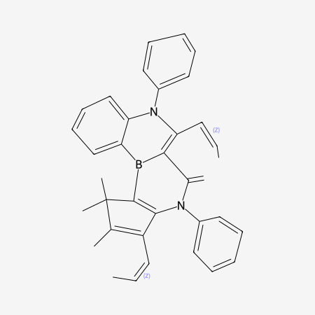 C=C1C2=C(/C=C\C)N(c3ccccc3)c3ccccc3B2C2=C(C(/C=C\C)=C(C)C2(C)C)N1c1ccccc1